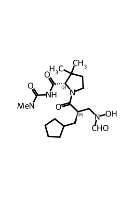 CNC(=O)NC(=O)[C@H]1N(C(=O)[C@H](CC2CCCC2)CN(O)C=O)CCC1(C)C